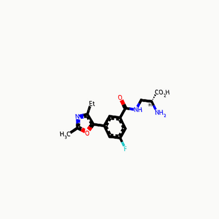 CCc1nc(C)oc1-c1cc(F)cc(C(=O)NC[C@@H](N)C(=O)O)c1